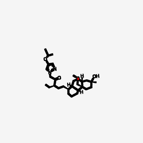 CC[C@H](CC[C@@H]1CCC[C@H]2[C@H]1CC[C@@H]1C[C@](C)(O)CC[C@@]12COC)C(=O)Cn1cc(OC(C)C)cn1